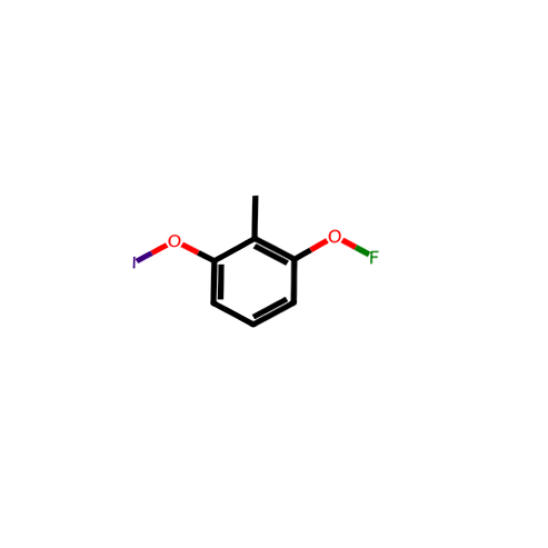 Cc1c(OF)cccc1OI